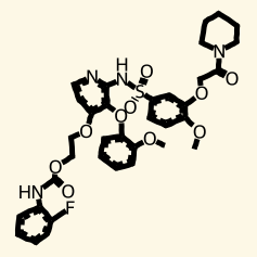 COc1ccc(S(=O)(=O)Nc2nccc(OCCOC(=O)Nc3ccccc3F)c2Oc2ccccc2OC)cc1OCC(=O)N1CCCCC1